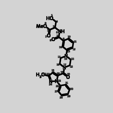 COC(=O)C(CO)NC(=O)c1cccc(N2CCN(C(=O)c3cc(C)nn3-c3ccccc3)CC2)c1